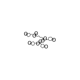 O=C(CCCCC(=O)OCC1CCC2OC2C1)OCC1CCC2OC2C1.O=C(OCC1CCC2OC2C1)C1CCC2OC2C1